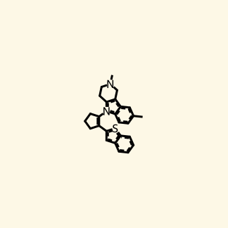 Cc1ccc2c(c1)c1c(n2C2=C(c3cc4ccccc4s3)CCC2)CCN(C)C1